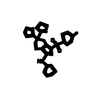 Cc1ccc(S(=O)(=O)n2nc(Nc3ccccc3)c3c2CC(c2cccs2)(c2cccs2)C=C3)cc1